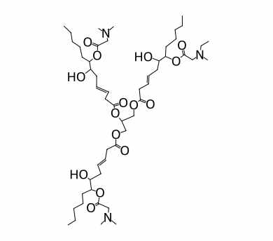 CCCCCC(OC(=O)CN(C)C)C(O)C/C=C/CC(=O)OCC(COC(=O)C/C=C/CC(O)C(CCCCC)OC(=O)CN(C)CC)OC(=O)C/C=C/CC(O)C(CCCCC)OC(=O)CN(C)C